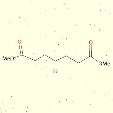 COC(=O)CCCCCC(=O)OC.[B]